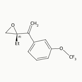 C=C(c1cccc(OC(F)(F)F)c1)[C@]1(CC)CO1